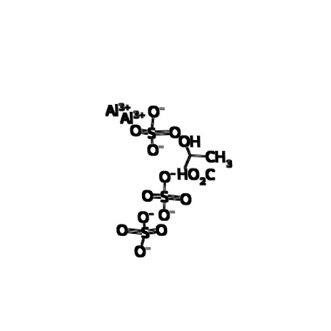 CC(O)C(=O)O.O=S(=O)([O-])[O-].O=S(=O)([O-])[O-].O=S(=O)([O-])[O-].[Al+3].[Al+3]